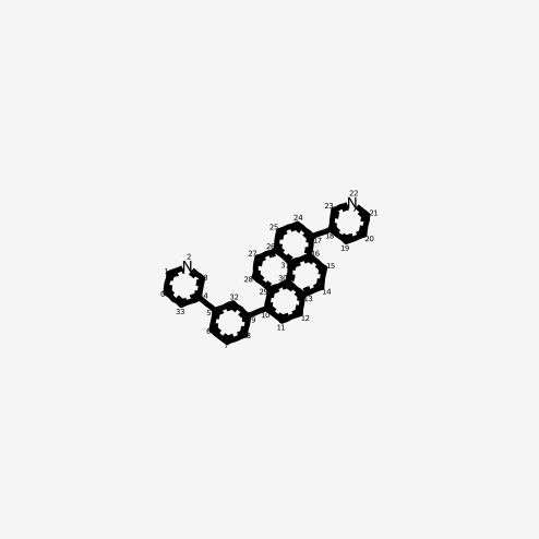 c1cncc(-c2cccc(-c3ccc4ccc5c(-c6cccnc6)ccc6ccc3c4c65)c2)c1